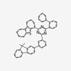 CC1(C)c2ccccc2-c2ccc(-c3cccc(-c4nc(-c5ccccc5-c5ccccc5)nc(-c5cccc6c5sc5ccccc56)n4)c3)cc21